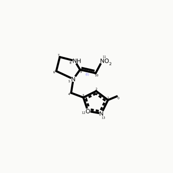 Cc1cc(CN2CCN/C2=C\[N+](=O)[O-])on1